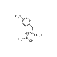 CB(O)N[C@H](Cc1ccc([N+](=O)[O-])cc1)C(=O)O